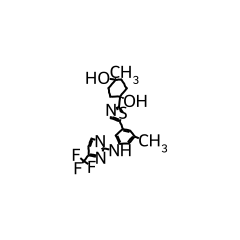 Cc1cc(Nc2nccc(C(F)(F)F)n2)cc(-c2cnc([C@]3(O)CC[C@@](C)(O)CC3)s2)c1